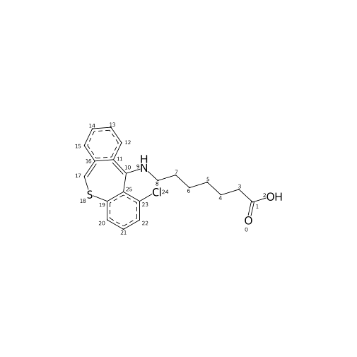 O=C(O)CCCCCCNC1=c2ccccc2=CSc2cccc(Cl)c21